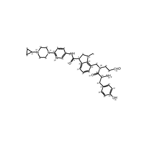 CN1CC(C(=O)Nc2ccc(N3CCN(C4CC4)CC3)nc2)c2cccc(CN(CCC=O)C(=O)C(N)Cc3ccc(O)cc3)c21